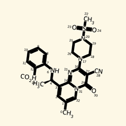 Cc1cc([C@@H](C)Nc2ccccc2C(=O)O)c2nc(N3CCN(S(C)(=O)=O)CC3)c(C#N)c(=O)n2c1